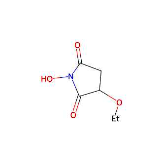 CCOC1CC(=O)N(O)C1=O